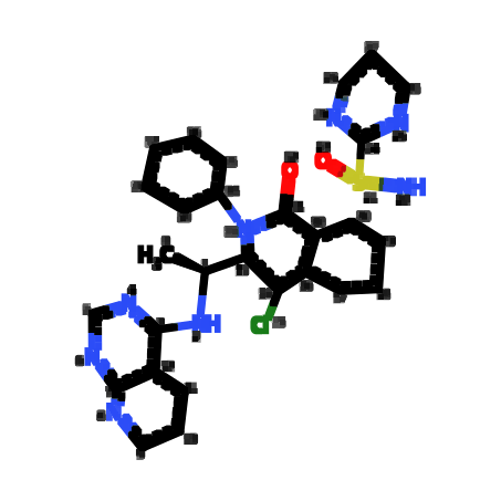 C[C@H](Nc1ncnc2ncccc12)c1c(Cl)c2cccc([S@@](=N)(=O)c3ncccn3)c2c(=O)n1-c1ccccc1